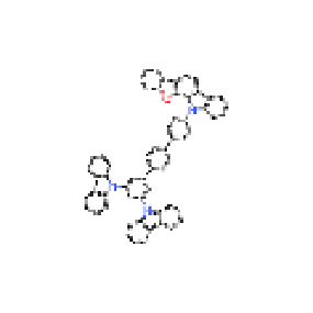 c1ccc2c(c1)oc1c2ccc2c3ccccc3n(-c3ccc(-c4ccc(-c5cc(-n6c7ccccc7c7ccccc76)cc(-n6c7ccccc7c7ccccc76)c5)cc4)cc3)c21